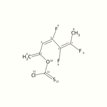 C=C(/C=C(F)\C(F)=C(/C)F)OC(=S)Cl